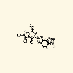 COCCN(C(=O)c1nsc(Cl)c1Cl)c1nc2c(s1)CCc1c-2cnn1C